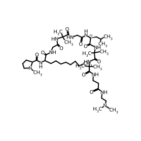 CCCCCCCCC(NC(=O)C1CCCN1C)C(=O)NCC(=O)NC(C)(C)C(=O)NCC(=O)N[C@@H](CC(C)C)C(=O)NC(C)(C)C(=O)NC(C)(C)C(=O)NCCC(=O)NCCN(C)C